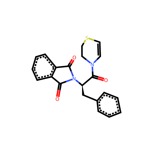 O=C([C@@H](Cc1ccccc1)N1C(=O)c2ccccc2C1=O)N1C=CSCC1